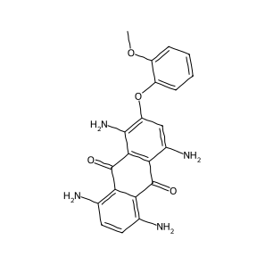 COc1ccccc1Oc1cc(N)c2c(c1N)C(=O)c1c(N)ccc(N)c1C2=O